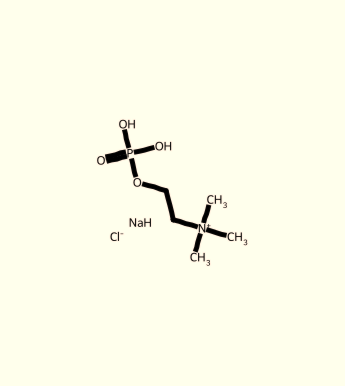 C[N+](C)(C)CCOP(=O)(O)O.[Cl-].[NaH]